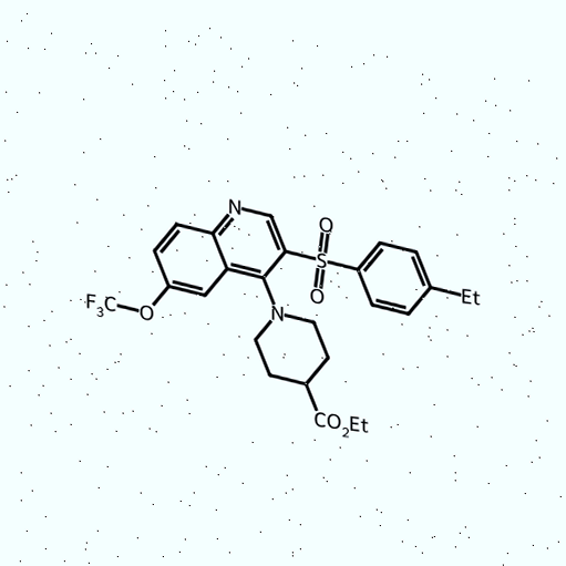 CCOC(=O)C1CCN(c2c(S(=O)(=O)c3ccc(CC)cc3)cnc3ccc(OC(F)(F)F)cc23)CC1